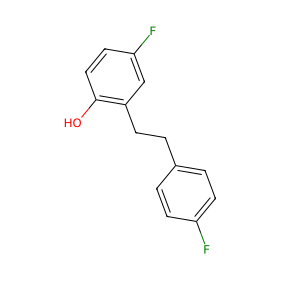 Oc1ccc(F)cc1CCc1ccc(F)cc1